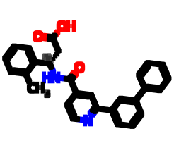 Cc1ccccc1[C@H](CC(=O)O)NC(=O)c1ccnc(-c2cccc(-c3ccccc3)c2)c1